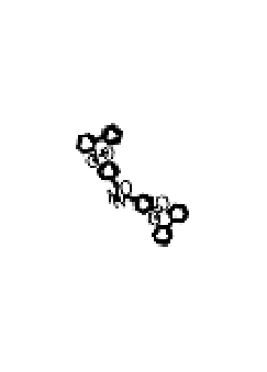 O=P1(c2ccc(-c3nnc(-c4ccc(P5(=O)Oc6ccccc6-c6ccccc65)cc4)o3)cc2)Oc2ccccc2-c2ccccc21